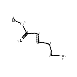 CCOC(=O)/C=C/CCO